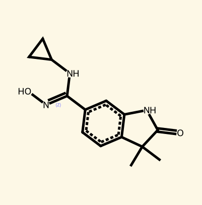 CC1(C)C(=O)Nc2cc(/C(=N/O)NC3CC3)ccc21